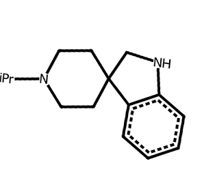 CC(C)N1CCC2(CC1)CNc1ccccc12